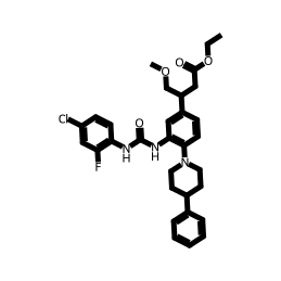 CCOC(=O)CC(COC)c1ccc(N2CCC(c3ccccc3)CC2)c(NC(=O)Nc2ccc(Cl)cc2F)c1